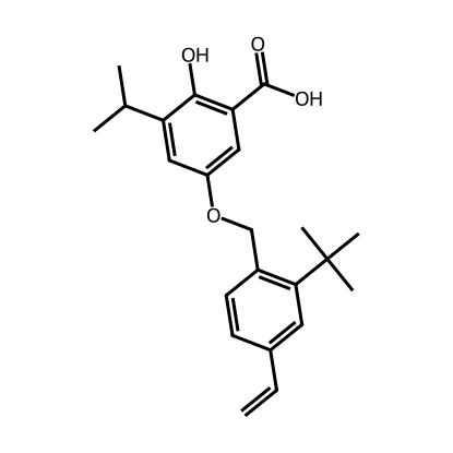 C=Cc1ccc(COc2cc(C(=O)O)c(O)c(C(C)C)c2)c(C(C)(C)C)c1